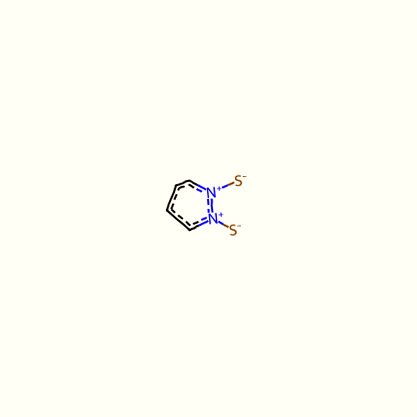 [S-][n+]1cccc[n+]1[S-]